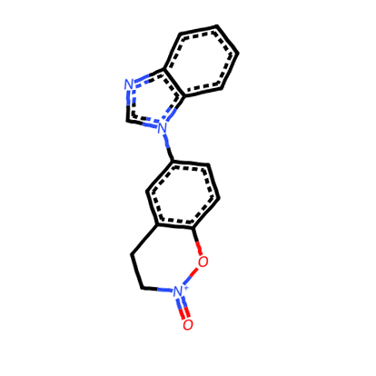 O=[N+]1CCc2cc(-n3cnc4ccccc43)ccc2O1